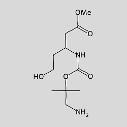 COC(=O)CC(CCO)NC(=O)OC(C)(C)CN